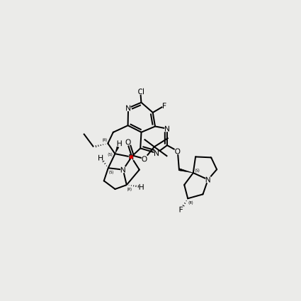 CC[C@@H]1Cc2nc(Cl)c(F)c3nc(OC[C@@]45CCCN4C[C@H](F)C5)nc(c23)N2C[C@H]3CC[C@@H]([C@H]12)N3C(=O)OC(C)(C)C